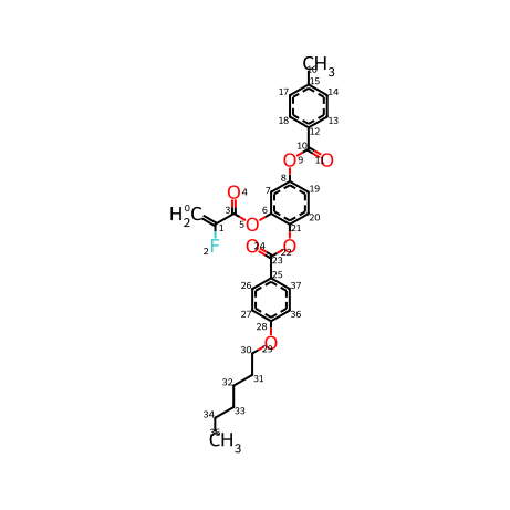 C=C(F)C(=O)Oc1cc(OC(=O)c2ccc(C)cc2)ccc1OC(=O)c1ccc(OCCCCCC)cc1